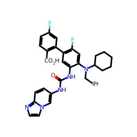 CC(C)CN(c1cc(F)c(-c2cc(F)ccc2C(=O)O)cc1NC(=O)Nc1ccc2nccn2c1)C1CCCCC1